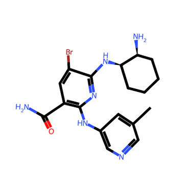 Cc1cncc(Nc2nc(N[C@@H]3CCCC[C@@H]3N)c(Br)cc2C(N)=O)c1